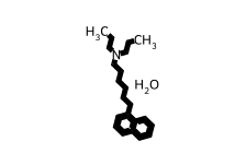 CCCN(CCC)CCCCCCc1cccc2ccccc12.O